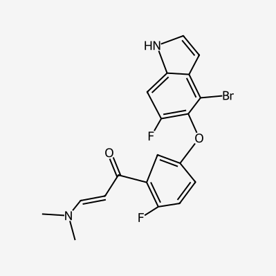 CN(C)/C=C/C(=O)c1cc(Oc2c(F)cc3[nH]ccc3c2Br)ccc1F